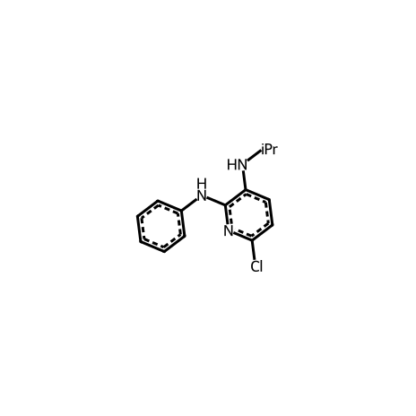 CC(C)Nc1ccc(Cl)nc1Nc1ccccc1